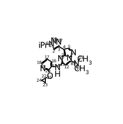 CC(C)n1cc(-c2cnn3c(N(C)C)cc(Nc4cccnc4OC4CC4)nc23)nn1